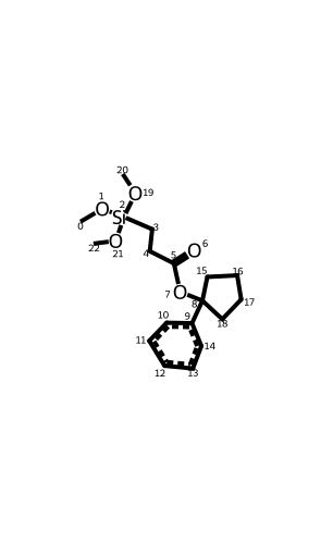 CO[Si](CCC(=O)OC1(c2ccccc2)CCCC1)(OC)OC